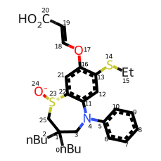 CCCCC1(CCCC)CN(c2ccccc2)c2cc(SCC)c(O/C=C/C(=O)O)cc2[S+]([O-])C1